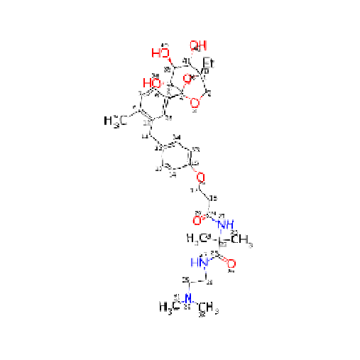 CC[C@@]12CO[C@@](c3ccc(C)c(Cc4ccc(OCCC(=O)NC(C)(C)C(=O)NCCN(C)C)cc4)c3)(O1)[C@H](O)[C@@H](O)[C@@H]2O